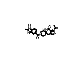 Cc1nc2cc(C(=O)N3CCC4(CC3)Cc3cnn(C(C)C)c3C(=O)N4)ccc2[nH]1